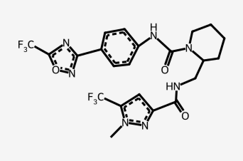 Cn1nc(C(=O)NCC2CCCCN2C(=O)Nc2ccc(-c3noc(C(F)(F)F)n3)cc2)cc1C(F)(F)F